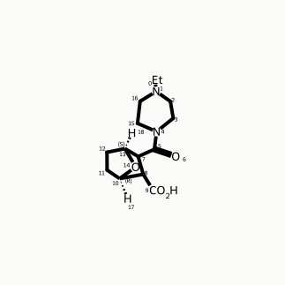 CCN1CCN(C(=O)C2C(C(=O)O)[C@H]3CC[C@@H]2O3)CC1